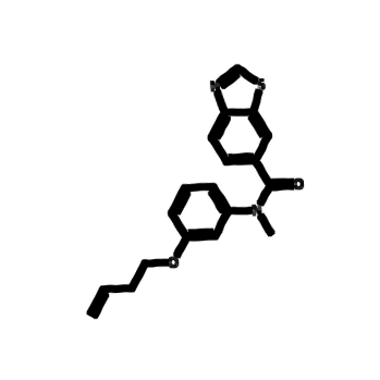 C=CCCOc1cccc(N(C)C(=O)c2ccc3ncsc3c2)c1